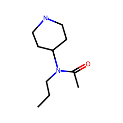 CCCN(C(C)=O)C1CC[N]CC1